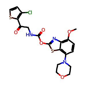 COc1ccc(N2CCOCC2)c2sc(OC(=O)NCC(=O)c3sccc3Cl)nc12